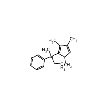 CC[Si](C)(C1=C(C)C(C)=CC1C)c1ccccc1